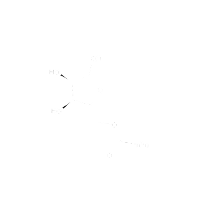 CCCCC(=O)OC[C@H]1OC(O)[C@H](O)[C@@H]1O